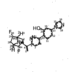 [2H][C@]12C[C@@H](C(=C)c3ccc(-c4ccc(-n5ccnc5)cc4O)nn3)[C@H](F)[C@]([2H])(C[C@H]1F)N2